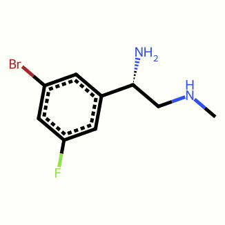 CNC[C@@H](N)c1cc(F)cc(Br)c1